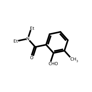 CCN(CC)C(=O)c1cccc(C)c1C=O